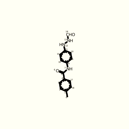 Cc1ccc(C(=O)Nc2ccc(NNC=O)cc2)cc1